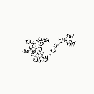 CC(C)(C)C(=O)OC[C@H]1O[C@@H](Oc2cccc3ccn(CCc4ccc(OCCCNC(CO)(CO)CO)cc4)c23)[C@H](OC(=O)C(C)(C)C)[C@@H](OC(=O)C(C)(C)C)[C@@H]1OC(=O)C(C)(C)C